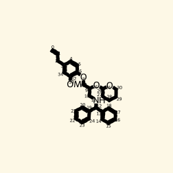 C=CCc1ccc(OCC(CNC(c2ccccc2)c2ccccc2)OC2CCCCO2)c(OC)c1